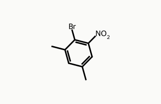 Cc1cc(C)c(Br)c([N+](=O)[O-])c1